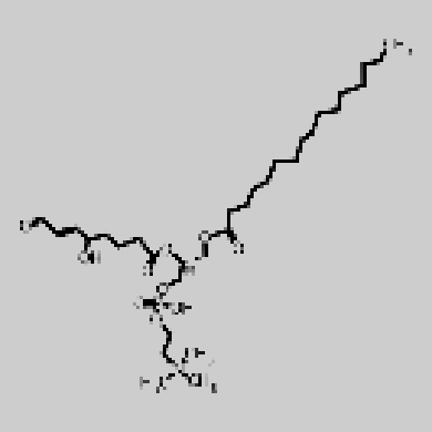 CCCCCCCCCCCCCCCC(=O)OC[C@H](COP(=O)(O)OCC[N+](C)(C)C)OC(=O)CCCC(O)C=CC=O